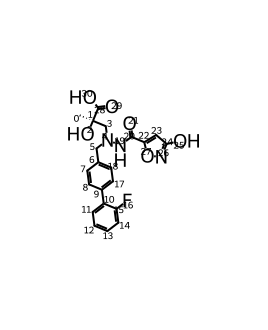 C[C@@](O)(CN(Cc1ccc(-c2ccccc2F)cc1)NC(=O)c1cc(O)no1)C(=O)O